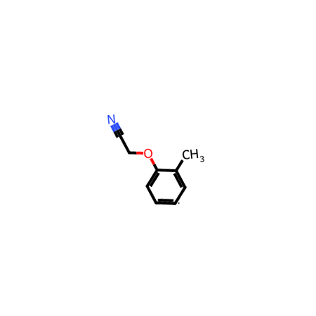 Cc1c[c]ccc1OCC#N